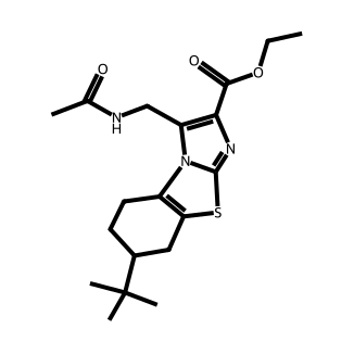 CCOC(=O)c1nc2sc3c(n2c1CNC(C)=O)CCC(C(C)(C)C)C3